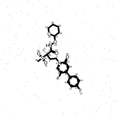 C[C@@](CCn1cc(F)c(-c2ccc(F)cc2)cc1=O)(C(=O)NOC1CCCCO1)S(C)(=O)=O